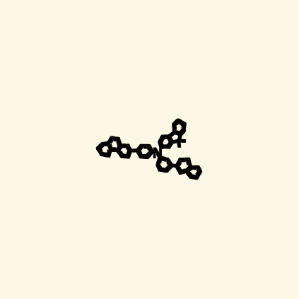 CC1(C)c2ccccc2-c2ccc(N(c3ccc(-c4ccc5c(ccc6ccccc65)c4)cc3)c3cccc(-c4ccc5ccccc5c4)c3)cc21